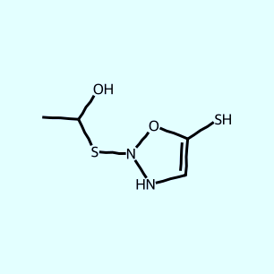 CC(O)SN1NC=C(S)O1